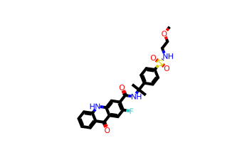 COCCNS(=O)(=O)c1ccc(C(C)(C)NC(=O)c2cc3[nH]c4ccccc4c(=O)c3cc2F)cc1